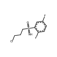 N=S(=O)(CCCCl)c1cc(F)ccc1F